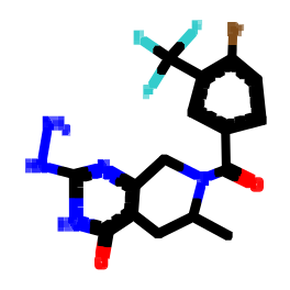 CC1Cc2c(nc(NN)[nH]c2=O)CN1C(=O)c1ccc(Br)c(C(F)(F)F)c1